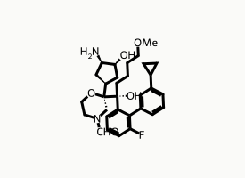 COCCCC[C@@](O)(c1cccc(F)c1-c1cccc(C2CC2)c1)[C@@]1([C@H]2C[C@@H](N)[C@@H](O)C2)CN(C=O)CCO1